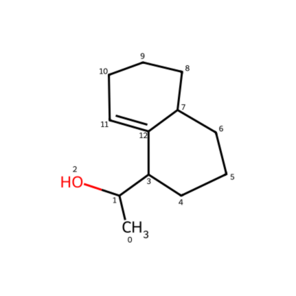 CC(O)C1CCCC2CCCC=C21